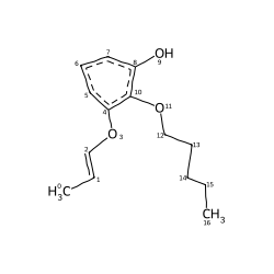 CC=COc1cccc(O)c1OCCCCC